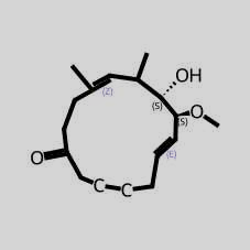 CO[C@H]1/C=C/CCCCC(=O)CC/C(C)=C\C(C)[C@@H]1O